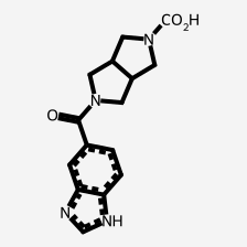 O=C(O)N1CC2CN(C(=O)c3ccc4[nH]cnc4c3)CC2C1